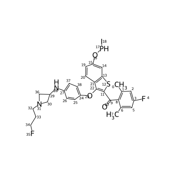 Cc1cc(F)cc(C)c1C(=O)c1sc2cc(OPI)ccc2c1Oc1ccc(NC2CN(CCCF)C2)cc1